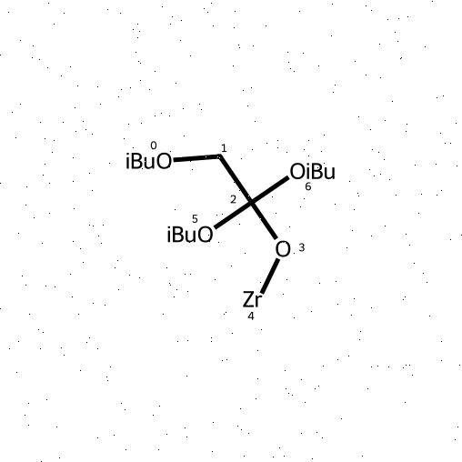 CC(C)COCC([O][Zr])(OCC(C)C)OCC(C)C